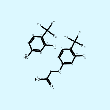 O=C(O)COc1ccc(C(F)(F)F)c(Cl)c1.Oc1ccc(C(F)(F)F)c(Cl)c1